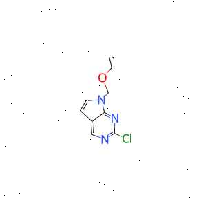 [CH2]COCn1ccc2cnc(Cl)nc21